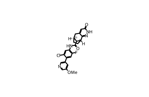 COc1cncc(-c2cc(F)c(NC(=O)C3[C@H]4CC[C@H]3c3n[nH]c(=O)cc3C4)cc2Cl)c1